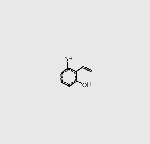 C=Cc1c(O)cccc1S